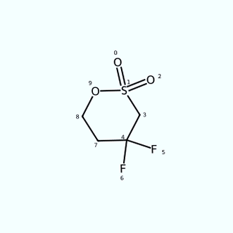 O=S1(=O)CC(F)(F)CCO1